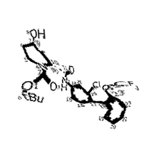 CC(C)(C)OC(=O)N1CC[C@H](O)C[C@@H]1C(=O)Nc1ccc(-c2ccccc2OC(F)(F)F)c(Cl)c1